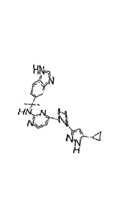 CC(C)(Nc1nccc(Nc2cc(C3CC3)[nH]n2)n1)c1ccc2[nH]cnc2c1